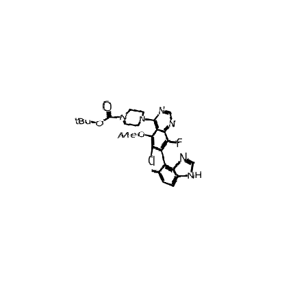 COc1c(Cl)c(-c2c(C)ccc3[nH]cnc23)c(F)c2ncnc(N3CCN(C(=O)OC(C)(C)C)CC3)c12